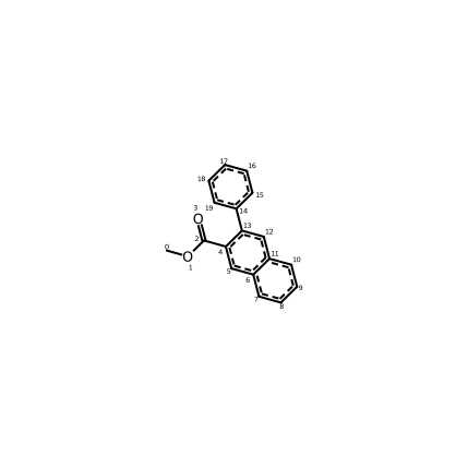 COC(=O)c1cc2ccccc2cc1-c1ccccc1